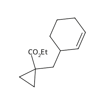 CCOC(=O)C1(CC2C=CCCC2)CC1